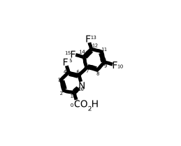 O=C(O)c1ccc(F)c(-c2cc(F)cc(F)c2F)n1